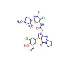 CC1CN(C)CCN1c1cc(NC(=O)Cn2cc(-c3cc(Cl)c(O)c(C=O)c3)c3c(=O)n4c(nc32)CCC4)c(Cl)c(F)n1